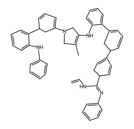 C=CN/C(=N\c1ccccc1)C1C=CC(C2C=CC=C(c3ccccc3NC3=C(C)CN(C4=CC=CC(c5ccccc5Nc5ccccc5)C4)C3)C2)=CC1